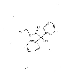 O=C(OCO)C(O)(c1ccccc1)c1ccccc1